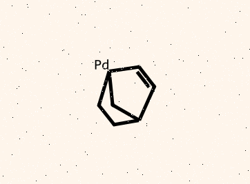 C1=CC2CCC1C2.[Pd]